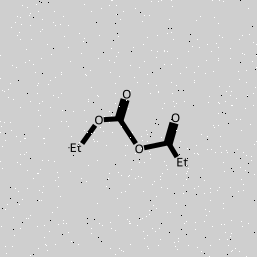 C[CH]OC(=O)OC(=O)CC